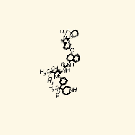 C[C@H]1CCCCN1c1nnc2ccc(O[C@@H]3CC[C@H](NC(=O)Nc4cc(C(C)(C)C)nn4-c4cccc(C(C)(O)C5CCCNCC5)c4)c4ccccc43)cn12